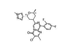 Cc1nc2c(-c3ccc(F)cc3F)nc(C3C[C@H](C)O[C@@H](c4cnn(C)c4)C3)cn2c(=O)c1Cl